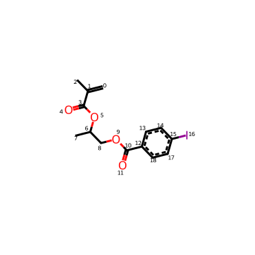 C=C(C)C(=O)OC(C)COC(=O)c1ccc(I)cc1